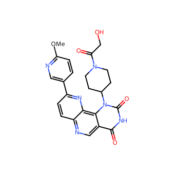 COc1ccc(-c2ccc3ncc4c(=O)[nH]c(=O)n(C5CCN(C(=O)CO)CC5)c4c3n2)cn1